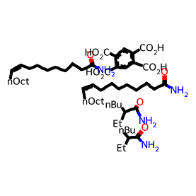 CCCCC(CC)C(N)=O.CCCCC(CC)C(N)=O.CCCCCCCC/C=C\CCCCCCCC(N)=O.CCCCCCCC/C=C\CCCCCCCC(N)=O.O=C(O)c1cc(C(=O)O)c(C(=O)O)cc1C(=O)O